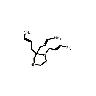 NC=CCN1CCNCC1(CC=CN)CC=CN